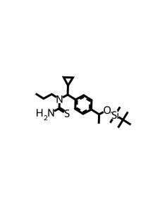 CCCN(C(N)=S)C(c1ccc(C(C)O[Si](C)(C)C(C)(C)C)cc1)C1CC1